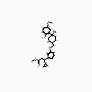 COC(=O)CC(c1cccc(OCC2CCC(O)(c3cc(OC)ccc3F)CC2)c1)C1CC1